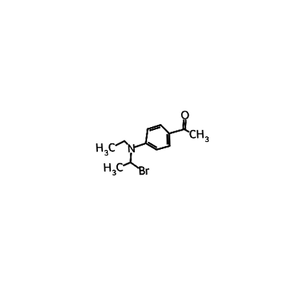 CCN(c1ccc(C(C)=O)cc1)C(C)Br